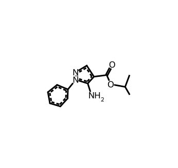 CC(C)OC(=O)c1cnn(-c2ccccc2)c1N